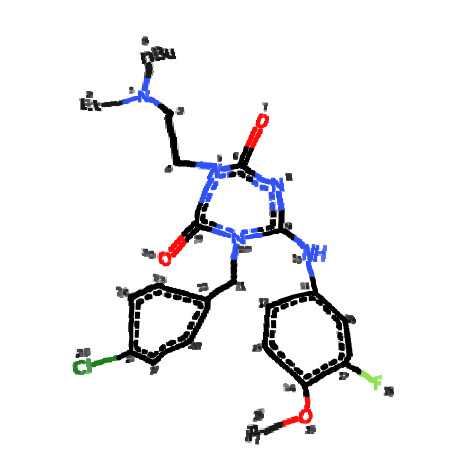 CCCCN(CC)CCn1c(=O)nc(Nc2ccc(OC(C)C)c(F)c2)n(Cc2ccc(Cl)cc2)c1=O